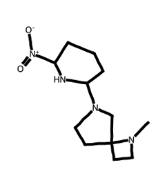 CN1CCC12CCN(C1CCCC([N+](=O)[O-])N1)C2